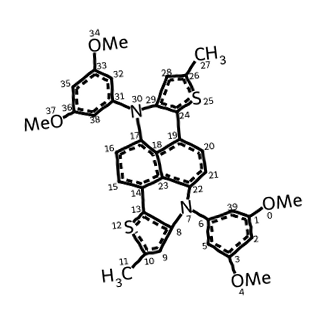 COc1cc(OC)cc(N2c3cc(C)sc3-c3ccc4c5c(ccc2c35)-c2sc(C)cc2N4c2cc(OC)cc(OC)c2)c1